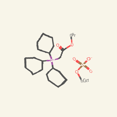 CCCCCCCCOS(=O)(=O)[O-].CCCOC(=O)C[P+](C1CCCCC1)(C1CCCCC1)C1CCCCC1